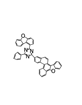 c1ccc(-c2nc(-c3ccc4c(ccc5c4c4ccccc4c4oc6ccccc6c54)c3)nc(-c3cccc4oc5ccccc5c34)n2)cc1